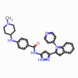 CN1CCC(Nc2ccc(C(=O)Nc3cc(-c4cc5ccccc5n4-c4ccncc4)n[nH]3)cc2)CC1